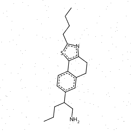 CCCCc1nc2c(s1)-c1ccc(C(CN)CCC)cc1CC2